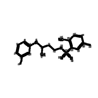 Cc1cccc(OC(O)CCOS(=O)(=O)c2cc(C)ccc2C#N)c1